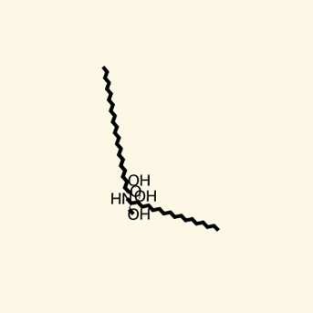 CCCCCCCCCCCCCCCCCCCCC[C@@H](O)CC(=O)N[C@@H](CO)[C@H](O)CCCCCCCCCCCCCCC